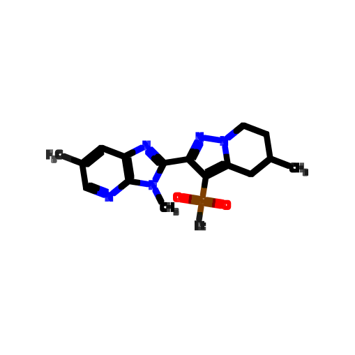 CCS(=O)(=O)c1c(-c2nc3cc(C(F)(F)F)cnc3n2C)nn2c1CC(C)CC2